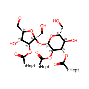 CCCCCCCC(=O)O[C@H]1[C@@H](O[C@]2(CO)O[C@H](CO)[C@@H](O)[C@@H]2OC(=O)CCCCCCC)O[C@H](CO)[C@@H](O)[C@@H]1OC(=O)CCCCCCC